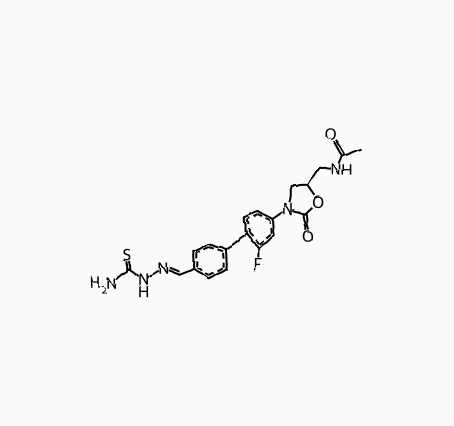 CC(=O)NCC1CN(c2ccc(-c3ccc(C=NNC(N)=S)cc3)c(F)c2)C(=O)O1